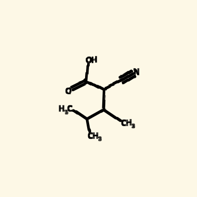 CC(C)C(C)C(C#N)C(=O)O